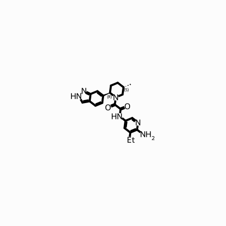 CCc1cc(NC(=O)C(=O)N2C[C@@H](C)CC[C@@H]2c2ccc3c[nH]nc3c2)cnc1N